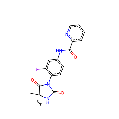 CC(C)[C@@]1(C)NC(=O)N(c2ccc(NC(=O)c3ccccn3)cc2I)C1=O